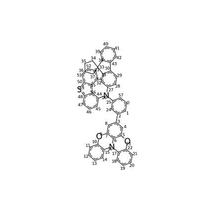 c1cc(-c2cc3c4c(c2)Oc2ccccc2N4c2ccccc2O3)cc(N(c2ccc3c(c2)C2(CCCC2)c2ccccc2-3)c2cccc3sc4ccccc4c23)c1